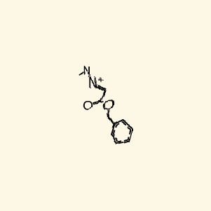 CN=[N+]=CC(=O)OCc1ccccc1